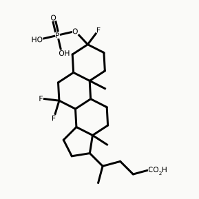 CC(CCC(=O)O)C1CCC2C3C(CCC12C)C1(C)CCC(F)(OP(=O)(O)O)CC1CC3(F)F